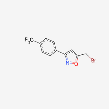 FC(F)(F)c1ccc(-c2cc(CBr)on2)cc1